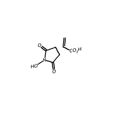 C=CC(=O)O.O=C1CCC(=O)N1O